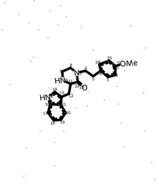 COc1ccc(CCN2CCNC(Cc3c[nH]c4ccccc34)C2=O)cc1